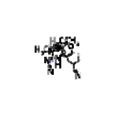 CN(C)/C(=N/C#N)N[C@@H]1c2cc(C#N)ccc2OC(C)(C)[C@H]1O